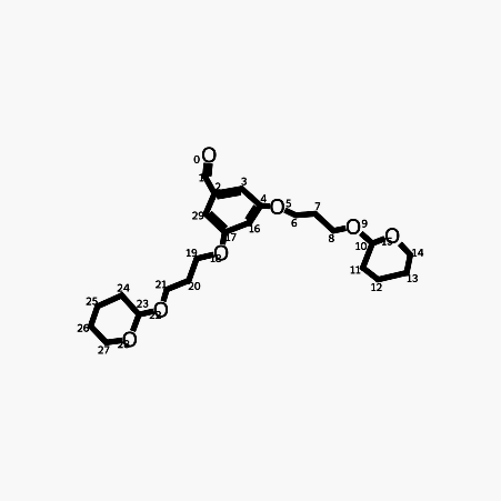 O=Cc1cc(OCCCOC2CCCCO2)cc(OCCCOC2CCCCO2)c1